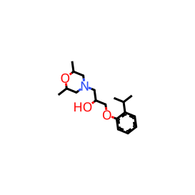 CC1CN(CC(O)COc2ccccc2C(C)C)CC(C)O1